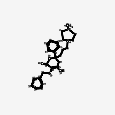 CN1CCN(CCCC2(c3ccccc3)CC(O)=C(SCc3ccccc3)C(=O)O2)CC1